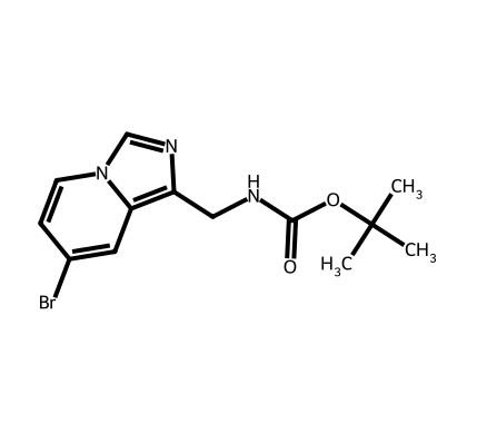 CC(C)(C)OC(=O)NCc1ncn2ccc(Br)cc12